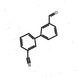 N#Cc1cccc(-c2cccc(C=O)c2)c1